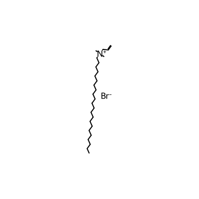 C=CC[N+](C)(C)CCCCCCCCCCCCCCCCCCCCCC.[Br-]